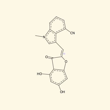 Cn1cc(/C=C2/Oc3cc(O)cc(O)c3C2=O)c2c(C#N)cccc21